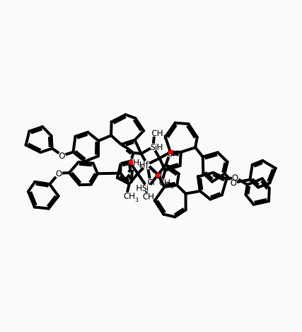 CC1=CC2=C(C=CC=CC2c2ccc(Oc3ccccc3)cc2)[C]12[SiH](C)[C]1(C(C)=CC3=C1C=CC=CC3c1ccc(Oc3ccccc3)cc1)[Hf]21([Cl])([Cl])[C]2(C(C)=CC3=C2C=CC=CC3c2ccc(Oc3ccccc3)cc2)[SiH](C)[C]12C(C)=CC1=C2C=CC=CC1c1ccc(Oc2ccccc2)cc1